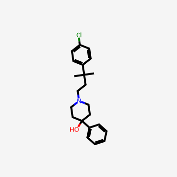 CC(C)(CCN1CCC(O)(c2ccccc2)CC1)c1ccc(Cl)cc1